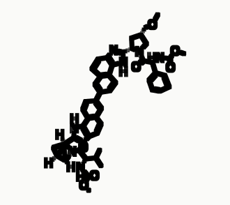 COC[C@H]1C[C@@H](c2nc3ccc4cc(-c5ccc6c(ccc7nc([C@@H]8C9C%10[C@H]9[C@@H]%10N8C(=O)[C@@H](NC(=O)OC)C(C)C)[nH]c76)c5)ccc4c3[nH]2)N(C(=O)[C@H](NC(=O)OC)c2ccccc2)C1